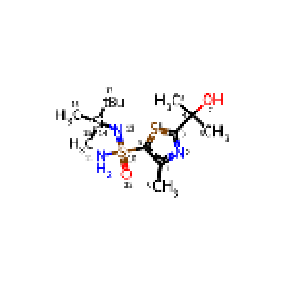 Cc1nc(C(C)(C)O)sc1S(N)(=O)=N[Si](C)(C)C(C)(C)C